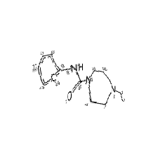 CCN1CCN(C(=O)Nc2ccccc2)CC1